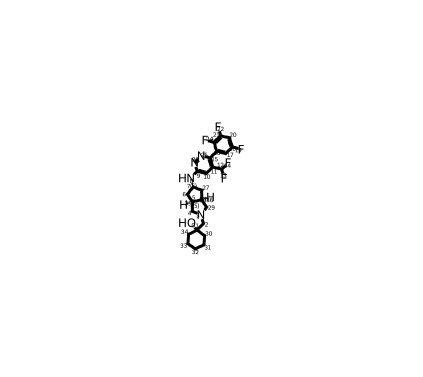 OC1(CN2C[C@H]3C[C@H](Nc4cc(C(F)F)c(-c5cc(F)cc(F)c5F)nn4)C[C@H]3C2)CCCCC1